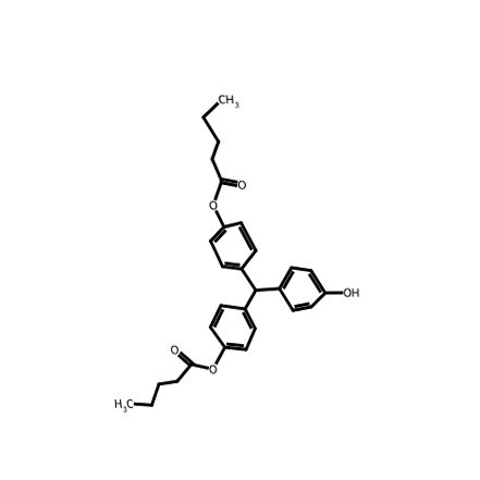 CCCCC(=O)Oc1ccc(C(c2ccc(O)cc2)c2ccc(OC(=O)CCCC)cc2)cc1